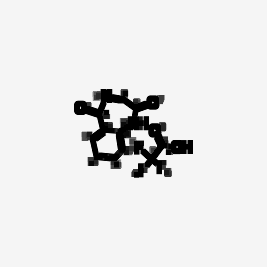 O=C(O)C(F)(F)F.O=c1cnc(=O)c2ccccc2[nH]1